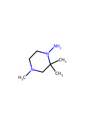 CN1CCN(N)C(C)(C)C1